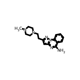 CN1CCN(CCc2cc3nc(N)c4ccccc4n3n2)CC1